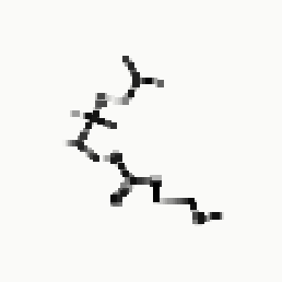 COCCOC(=O)OCC(C)C(C)(C)OCC(C)C